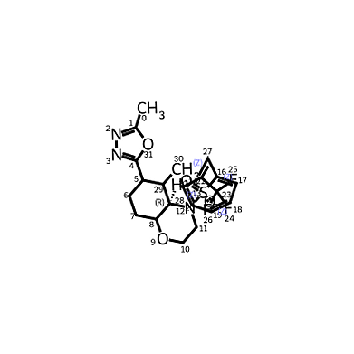 Cc1nnc(C2CCC3OCCN(S(=O)(=O)C4=C\C=C/C=C\C(C(F)(F)F)=C\4)[C@@H]3C2C)o1